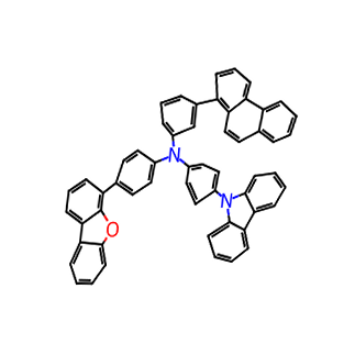 c1cc(-c2cccc3c2ccc2ccccc23)cc(N(c2ccc(-c3cccc4c3oc3ccccc34)cc2)c2ccc(-n3c4ccccc4c4ccccc43)cc2)c1